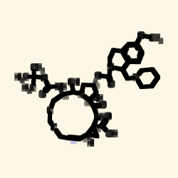 COc1ccc2c(c1)CCN(C(=O)O[C@@H]1C[C@H]3C(=O)N[C@]4(C(=O)O)C[C@H]4/C=C\CCCCC[C@H](NC(=O)OC(C)(C)C)C(O)N3C1)C2CN1CCCCC1